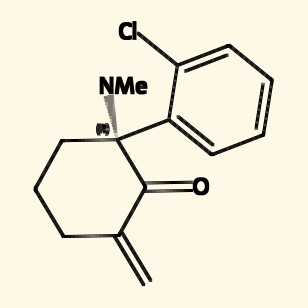 C=C1CCC[C@@](NC)(c2ccccc2Cl)C1=O